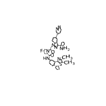 Cc1nc(-c2cc(NC(=O)C3CC(F)CN3C(=O)Cn3nc(C(N)=O)c4cc(-c5ccnnc5)ccc43)ccc2Cl)sc1C